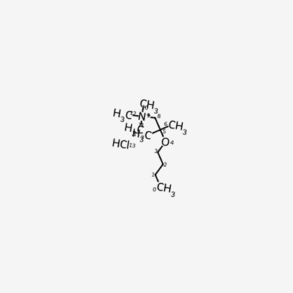 CCCCOC(C)(C)C[N+](C)(C)C.Cl